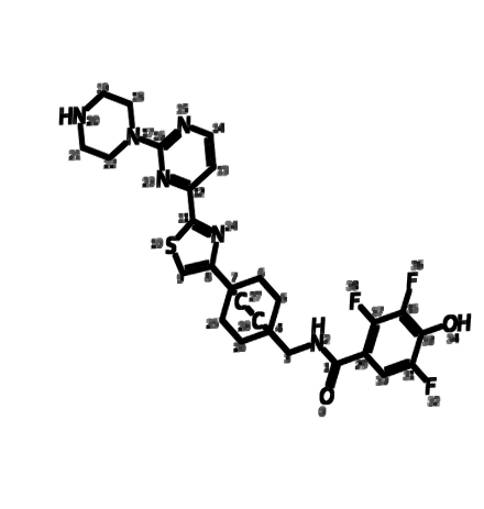 O=C(NCC12CCC(c3csc(-c4ccnc(N5CCNCC5)n4)n3)(CC1)CC2)c1cc(F)c(O)c(F)c1F